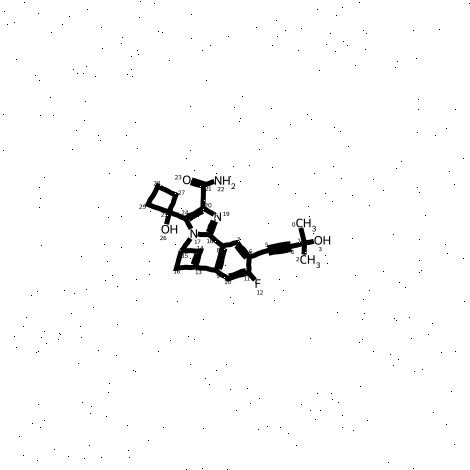 CC(C)(O)C#Cc1cc2c(cc1F)C1=CC(C1)n1c-2nc(C(N)=O)c1C1(O)CCC1